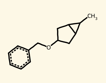 CC1C2CC(OCc3ccccc3)CC12